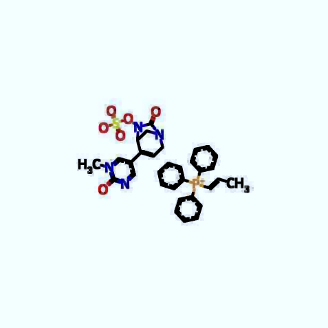 CC=C[P+](c1ccccc1)(c1ccccc1)c1ccccc1.Cn1cc(C2=CCN3CC2N(OS(=O)(=O)[O-])C3=O)cnc1=O